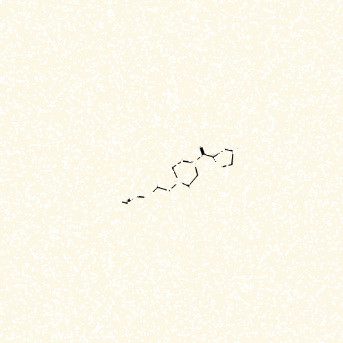 C/C=N/OCCN1CCN(C(=O)C2CCCO2)CC1